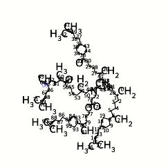 C=C(CCCCC(=C)C1CC=C(CCC=C(C)C)CC1)CCN(CCC(=C)CCCCC(=O)C1CC=C(CCC=C(C)C)CC1)CC(C)N(CCC(=C)CCCCC(=O)C(C)CC/C(=C\C)CCC=C(C)C)CCC(=O)OCCCC(=C)C1CC=C(CCC=C(C)C)CC1